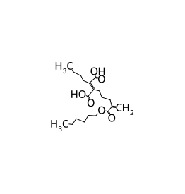 C=C(CCCC(C(=O)O)=C(CCCC)C(=O)O)C(=O)OCCCCCC